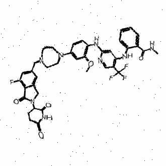 CNC(=O)c1ccccc1Nc1cc(Nc2ccc(N3CCN(Cc4cc(F)c5c(c4)CN(C4CCC(=O)NC4=O)C5=O)CC3)cc2OC)ncc1C(F)(F)F